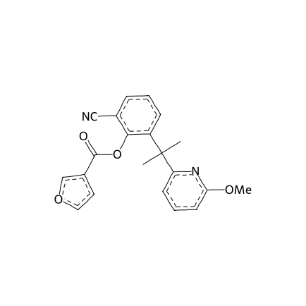 COc1cccc(C(C)(C)c2cccc(C#N)c2OC(=O)c2ccoc2)n1